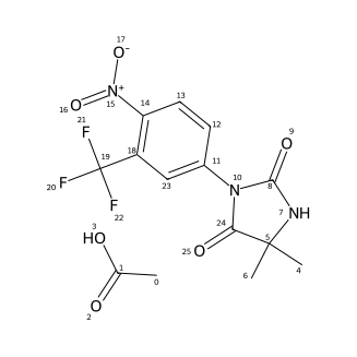 CC(=O)O.CC1(C)NC(=O)N(c2ccc([N+](=O)[O-])c(C(F)(F)F)c2)C1=O